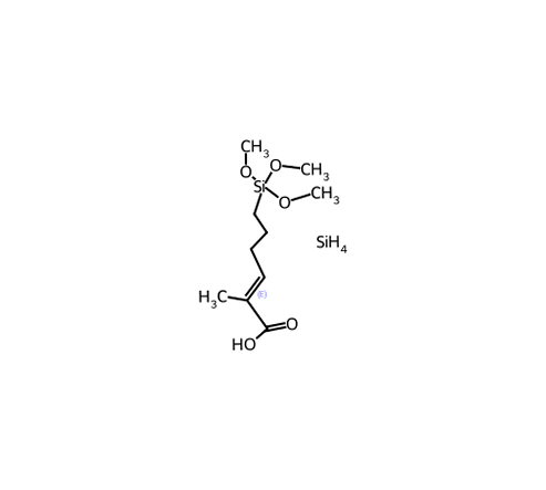 CO[Si](CCC/C=C(\C)C(=O)O)(OC)OC.[SiH4]